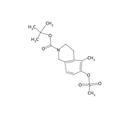 Cc1c(OS(C)(=O)=O)ccc2c1CCN(C(=O)OC(C)(C)C)C2